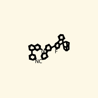 N#Cc1ccc2c3cc(-c4cc5c(cc4F)C4(c6ccccc6-5)C5CC6CC(C5)CC4C6)ccc3n(-c3ccc4cccc(-c5ccccc5)c4c3)c2c1